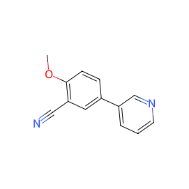 COc1ccc(-c2cccnc2)cc1C#N